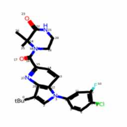 CC(C)(C)c1cn(-c2ccc(Cl)c(F)c2)c2ccc(C(=O)N3CCNC(=O)C3(C)C)nc12